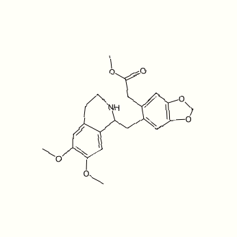 COC(=O)Cc1cc2c(cc1CC1NCCc3cc(OC)c(OC)cc31)OCO2